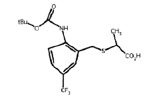 CC(SCc1cc(C(F)(F)F)ccc1NC(=O)OC(C)(C)C)C(=O)O